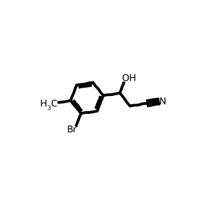 Cc1ccc(C(O)CC#N)cc1Br